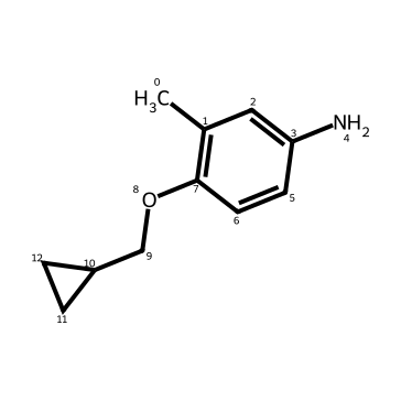 Cc1cc(N)ccc1OCC1CC1